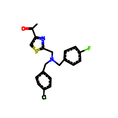 CC(=O)c1csc(CN(Cc2ccc(F)cc2)Cc2ccc(Cl)cc2)n1